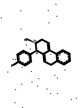 CCC[C@@H]1CC=C2C(=CCc3ccccc32)[C@H]1c1ccc(F)cc1